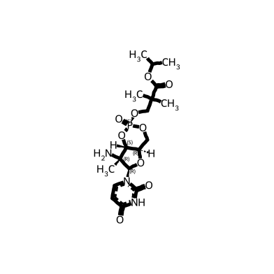 CC(C)OC(=O)C(C)(C)CO[P@@]1(=O)OC[C@H]2O[C@@H](n3ccc(=O)[nH]c3=O)[C@](C)(N)[C@@H]2O1